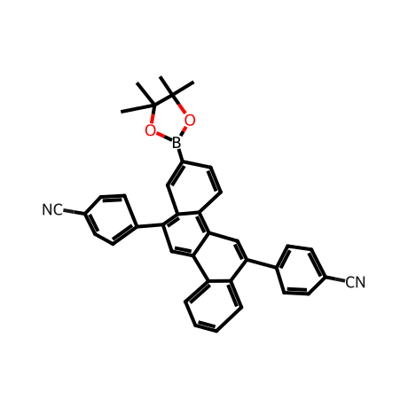 CC1(C)OB(c2ccc3c(c2)c(-c2ccc(C#N)cc2)cc2c4ccccc4c(-c4ccc(C#N)cc4)cc32)OC1(C)C